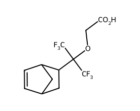 O=C(O)COC(C1CC2C=CC1C2)(C(F)(F)F)C(F)(F)F